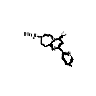 CCOC(=O)N1CCc2nc(-c3ccncn3)cc(=O)n2CC1